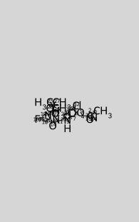 Cc1cc(COc2cc3[nH]c(CNC(=O)[C@@H]4C[C@@H](F)CN4C(=O)OC(C)(C)C)cc3cc2Cl)on1